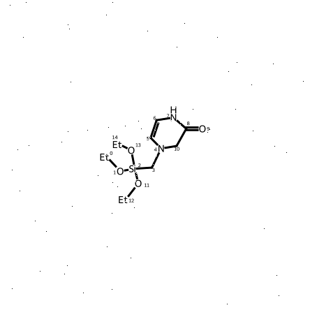 CCO[Si](CN1C=CNC(=O)C1)(OCC)OCC